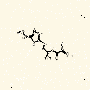 C=C(C)C(=O)SC(CCC)CSc1nnc(SCCCC)s1